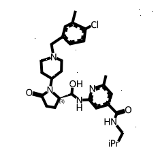 Cc1cc(C(=O)NCC(C)C)cc(NC(O)[C@H]2CCC(=O)N2C2CCN(Cc3ccc(Cl)c(C)c3)CC2)n1